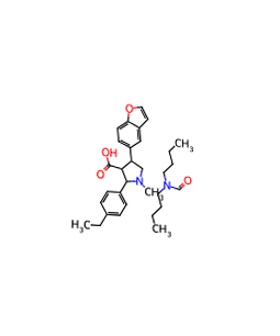 CCCCN(C=O)CCCC.CCc1ccc(C2C(C(=O)O)C(c3ccc4occc4c3)CN2C)cc1